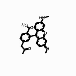 C/N=c1\ccc2c(-c3cc(CC(C)=O)ccc3C(=O)O)c3ccc(NC)cc3oc-2c1